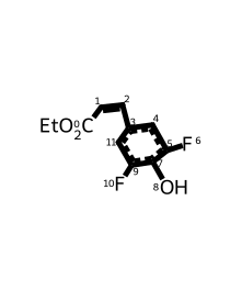 CCOC(=O)/C=C\c1cc(F)c(O)c(F)c1